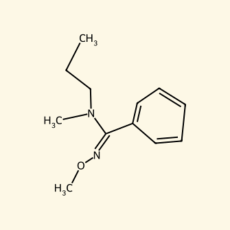 CCCN(C)C(=NOC)c1ccccc1